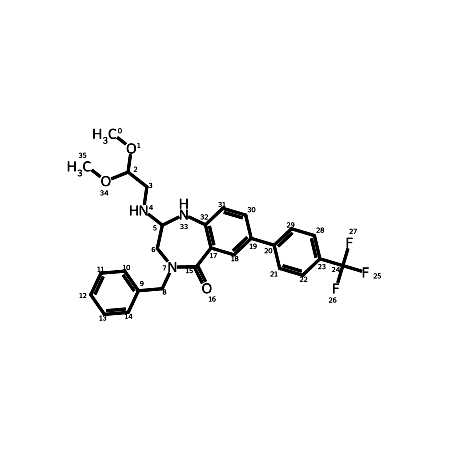 COC(CNC1CN(Cc2ccccc2)C(=O)c2cc(-c3ccc(C(F)(F)F)cc3)ccc2N1)OC